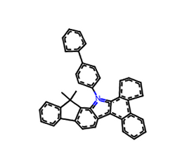 CC1(C)c2ccccc2-c2ccc3c4c5ccccc5c5ccccc5c4n(-c4ccc(-c5ccccc5)cc4)c3c21